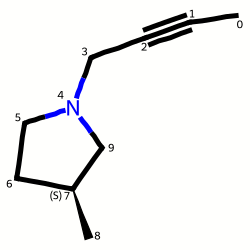 CC#CCN1CC[C@H](C)C1